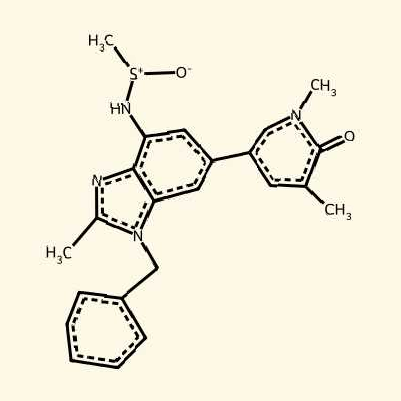 Cc1cc(-c2cc(N[S+](C)[O-])c3nc(C)n(Cc4ccccc4)c3c2)cn(C)c1=O